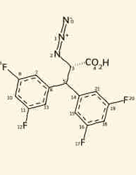 [N-]=[N+]=N[C@H](C(=O)O)C(c1cc(F)cc(F)c1)c1cc(F)cc(F)c1